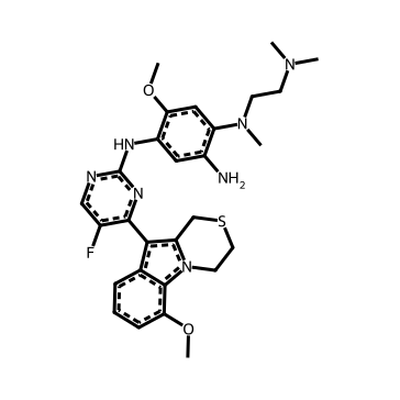 COc1cc(N(C)CCN(C)C)c(N)cc1Nc1ncc(F)c(-c2c3n(c4c(OC)cccc24)CCSC3)n1